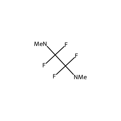 CNC(F)(F)C(F)(F)NC